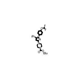 CC(C)c1cc(N2CCN(C(=O)OC(C)(C)C)CC2)nn1-c1ccc(OC(F)F)cc1